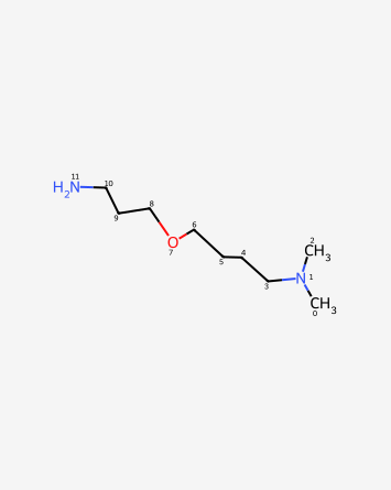 CN(C)CCCCOCCCN